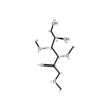 COCC(=O)[C@@H](OC)[C@H](OC)[C@H](O)CO